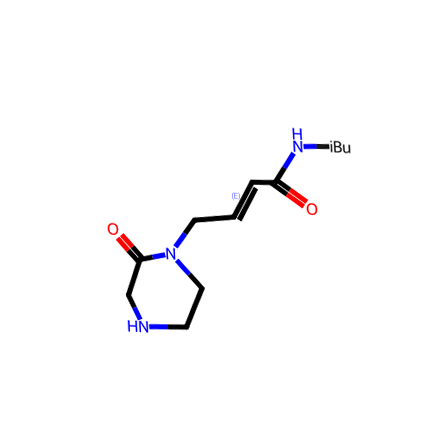 CCC(C)NC(=O)/C=C/CN1CCNCC1=O